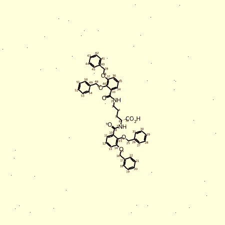 O=C(NCCC[C@@H](NC(=O)c1cccc(OCc2ccccc2)c1OCc1ccccc1)C(=O)O)c1cccc(OCc2ccccc2)c1OCc1ccccc1